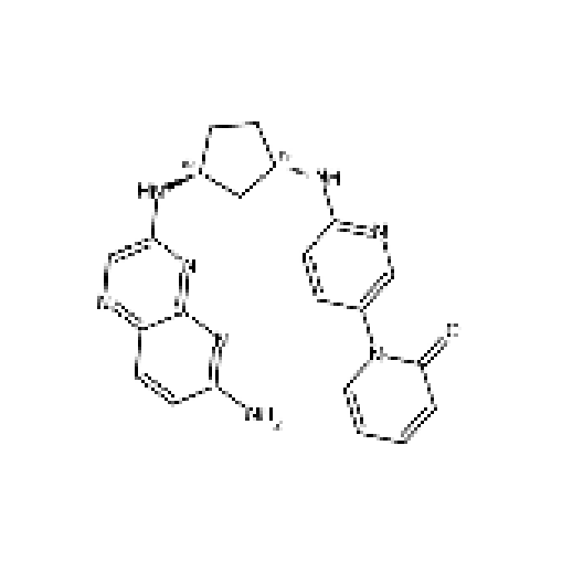 Nc1ccc2ncc(N[C@H]3CC[C@H](Nc4ccc(-n5ccccc5=O)cn4)C3)nc2n1